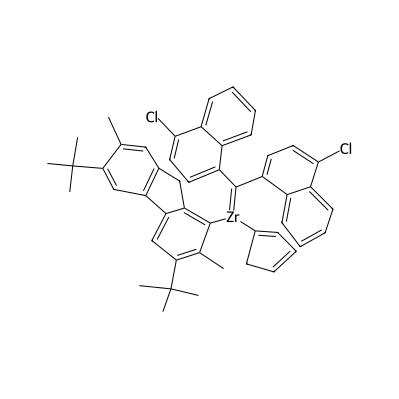 Cc1cc2c(cc1C(C)(C)C)-c1cc(C(C)(C)C)c(C)[c]([Zr]([C]3=CC=CC3)=[C](c3ccc(Cl)c4ccccc34)c3ccc(Cl)c4ccccc34)c1C2